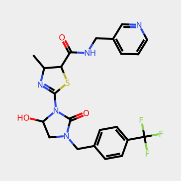 CC1N=C(N2C(=O)N(Cc3ccc(C(F)(F)F)cc3)CC2O)SC1C(=O)NCc1cccnc1